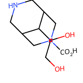 O=C(O)N1CC2CNCC(C1)C2C(O)CO